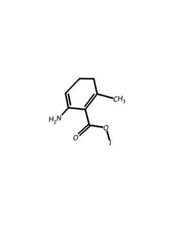 CC1=C(C(=O)OI)C(N)=CCC1